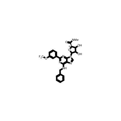 CNC(=O)[C@@H]1OC(n2cnc3c(NCc4ccccc4)nc(-c4cccc(OC(F)(F)F)c4)nc32)C(O)C1O